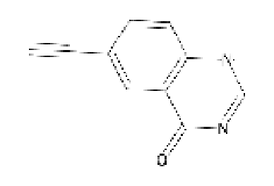 C#Cc1ccc2c(c1)C(=O)N=C[N]2